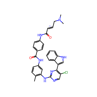 Cc1ccc(NC(=O)c2ccc(NC(=O)/C=C/CN(C)C)cc2)cc1Nc1ncc(Cl)c(-c2c[nH]c3ccccc23)n1